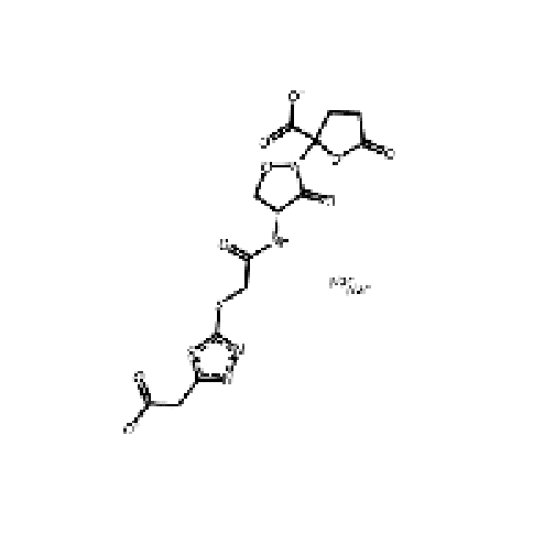 O=C([O-])Cc1nnc(SCC(=O)N[C@H]2CON(C3(C(=O)[O-])CCC(=O)O3)C2=O)s1.[Na+].[Na+]